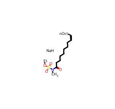 CCCCCCCC/C=C\CCCCCCCC(=O)N(C)S(=O)(=O)OCC.[NaH]